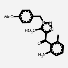 COc1ccc(Cn2nnc(C(=O)c3c(C)cccc3N)c2C(=O)O)cc1